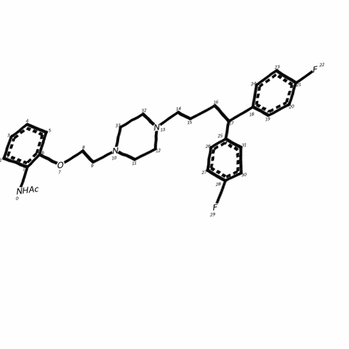 CC(=O)Nc1ccccc1OCCN1CCN(CCCC(c2ccc(F)cc2)c2ccc(F)cc2)CC1